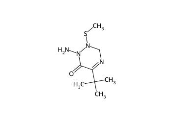 CSN1CN=C(C(C)(C)C)C(=O)N1N